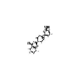 O=c1[nH]c(N2CCN(c3cccc(O)n3)CC2)nc2c1CCCC2